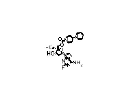 C#C[C@]1(COC(=O)N2CCC(N3CCCCC3)CC2)O[C@@H](n2cnc3c(N)nc(F)nc32)C[C@@H]1O